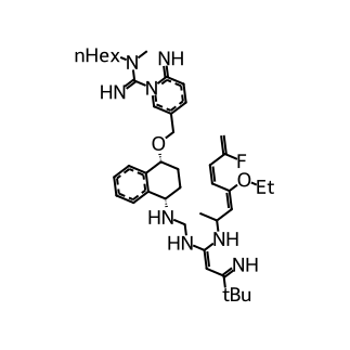 C=C(F)/C=C\C(=C/C(C)N/C(=C\C(=N)C(C)(C)C)NCN[C@H]1CC[C@@H](OCc2ccc(=N)n(C(=N)N(C)CCCCCC)c2)c2ccccc21)OCC